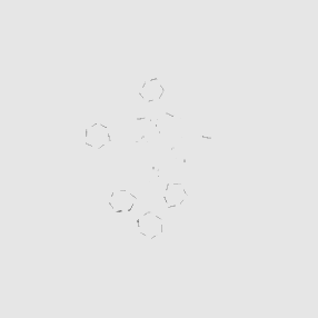 C=CCO[C@H]1[C@H](O)[C@@H](COC(c2ccccc2)(c2ccccc2)c2ccccc2)O[C@@H](OCc2ccccc2)[C@@H]1N1C(=O)c2ccccc2C1=O